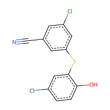 N#Cc1cc(Cl)cc(Sc2cc(Cl)ccc2O)c1